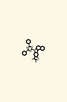 Cc1oc2cc3c4c5ccccc5ccc4n(-c4nc(-c5ccccc5)nc(-c5ccccc5)n4)c3cc2c1C